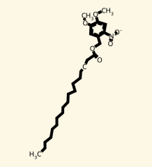 CCCCCCCCCCCCCCCCCC(=O)OCc1cc(OC)c(OC)cc1[N+](=O)[O-]